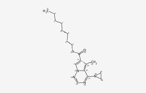 CCCCCCCCOC(=O)c1cn2ncnc(N3CC3)c2c1C